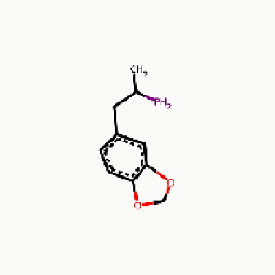 CC(P)Cc1ccc2c(c1)OCO2